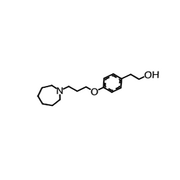 OCCc1ccc(OCCCN2CCCCCC2)cc1